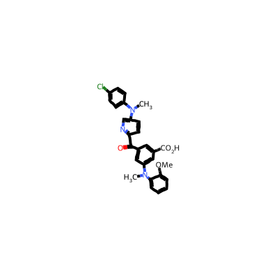 COc1ccccc1N(C)c1cc(C(=O)O)cc(C(=O)c2ccc(N(C)c3ccc(Cl)cc3)cn2)c1